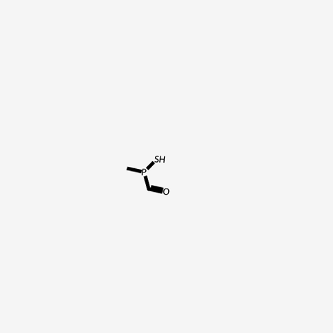 CP(S)C=O